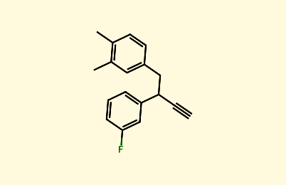 C#CC(Cc1ccc(C)c(C)c1)c1cccc(F)c1